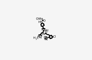 COC(=O)Nc1ccc(-c2c[nH]c(C(Cc3cnn(C)c3)NC(=O)CCc3cc(Cl)ccc3-n3cnnn3)n2)cc1